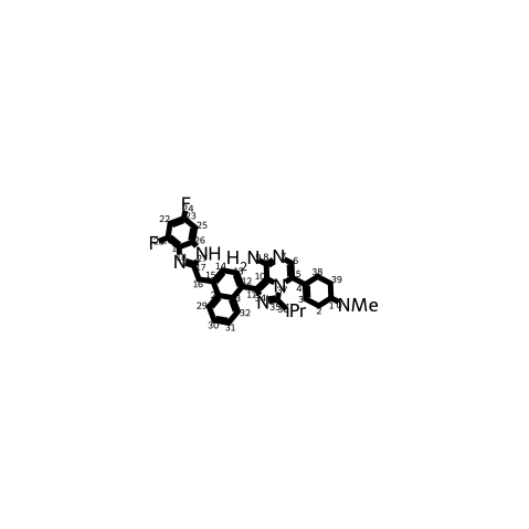 CNC1CC=C(c2cnc(N)c3c(-c4ccc(Cc5nc6c(F)cc(F)cc6[nH]5)c5ccccc45)nc(C(C)C)n23)CC1